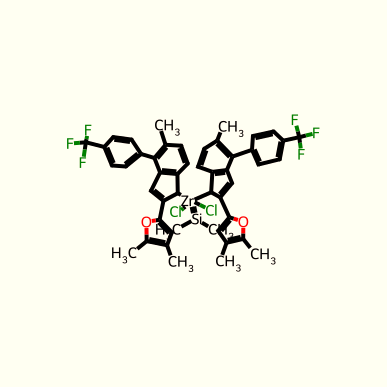 Cc1cc(C2=Cc3c(ccc(C)c3-c3ccc(C(F)(F)F)cc3)[CH]2[Zr]([Cl])([Cl])([CH]2C(c3cc(C)c(C)o3)=Cc3c2ccc(C)c3-c2ccc(C(F)(F)F)cc2)=[Si](C)C)oc1C